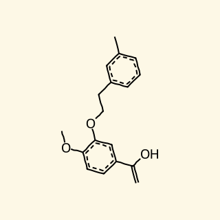 C=C(O)c1ccc(OC)c(OCCc2cccc(C)c2)c1